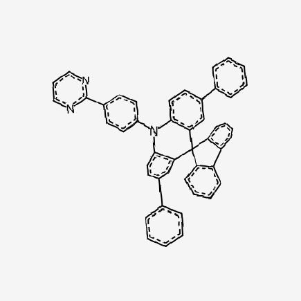 c1ccc(-c2ccc3c(c2)C2(c4ccccc4-c4ccccc42)c2cc(-c4ccccc4)ccc2N3c2ccc(-c3ncccn3)cc2)cc1